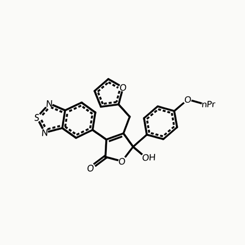 CCCOc1ccc(C2(O)OC(=O)C(c3ccc4nsnc4c3)=C2Cc2ccco2)cc1